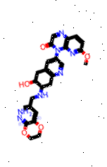 C=C(/C=C1/OCCO/C1=N/N)CNC1Cc2ncc(-n3c(=O)cnc4ccc(OC)nc43)cc2CC1O